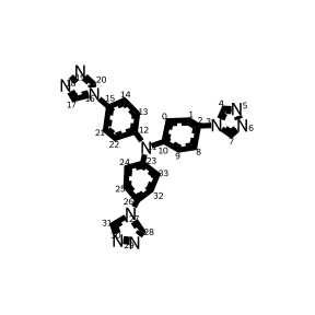 c1cc(-n2cnnc2)ccc1N(c1ccc(-n2cnnc2)cc1)c1ccc(-n2cnnc2)cc1